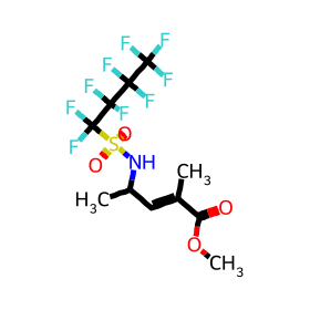 COC(=O)C(C)=CC(C)NS(=O)(=O)C(F)(F)C(F)(F)C(F)(F)C(F)(F)F